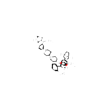 CN(c1cccc(N2CCC(N3CCC(Oc4cccc(N5[C@@H]6CC[C@H]5CN(c5cc(-c7ccccc7O)nnc5N)C6)c4)CC3)CC2)c1)C1CCC(=O)NC1=O